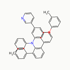 Cc1cccc(Oc2cc(-c3cccnc3)cc(N(c3cccc(C)c3)c3c(-c4ccccc4)cccc3-c3ccccc3)c2)c1